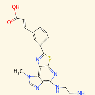 Cn1cnc2c(NCCN)nc3sc(-c4cccc(/C=C/C(=O)O)c4)nc3c21